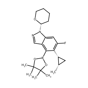 C[C@H]1C[C@H]1c1c(F)cc2c(cnn2[C@H]2CCCCO2)c1B1OC(C)(C)C(C)(C)O1